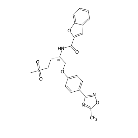 CS(=O)(=O)CC[C@@H](COc1ccc(-c2noc(C(F)(F)F)n2)cc1)NC(=O)c1cc2ccccc2o1